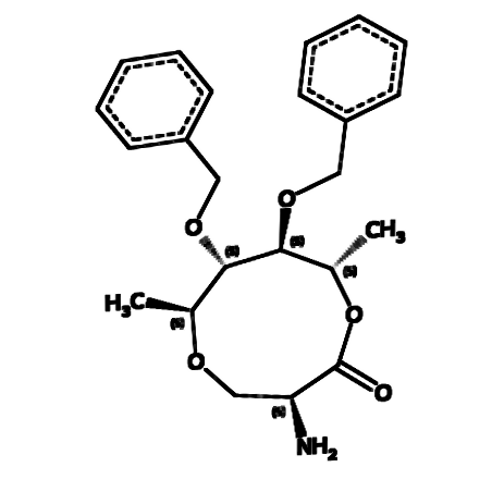 C[C@@H]1OC[C@H](N)C(=O)O[C@@H](C)[C@H](OCc2ccccc2)[C@H]1OCc1ccccc1